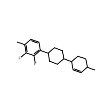 Cc1ccc(C2CCC(C3C=CC(C)CC3)CC2)c(F)c1F